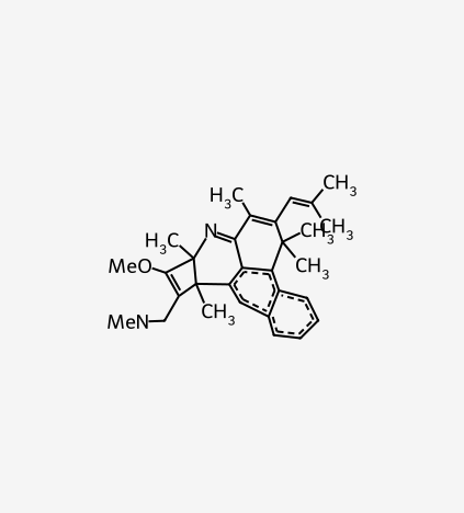 CNCC1=C(OC)C2(C)N=C3C(C)=C(C=C(C)C)C(C)(C)c4c3c(cc3ccccc43)C12C